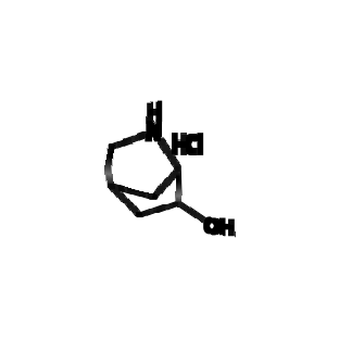 Cl.OC1CC2CNC1C2